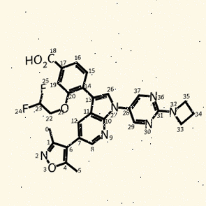 Cc1noc(C)c1-c1cnc2c(c1)c(-c1ccc(C(=O)O)cc1OCC(F)F)cn2-c1cnc(N2CCC2)nc1